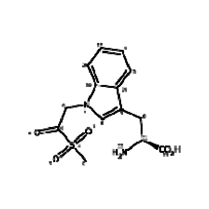 CS(=O)(=O)C(=O)Cn1cc(C[C@H](N)C(=O)O)c2ccccc21